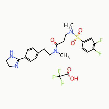 CN(CCc1ccc(C2=NCCN2)cc1)C(=O)CCN(C)S(=O)(=O)c1ccc(F)c(F)c1.O=C(O)C(F)(F)F